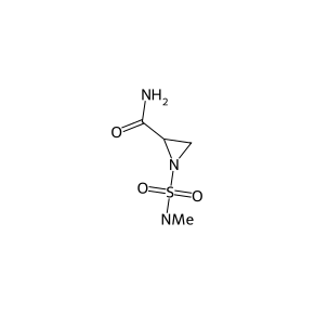 CNS(=O)(=O)N1CC1C(N)=O